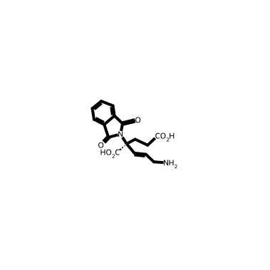 NCC=C[C@@](CCC(=O)O)(C(=O)O)N1C(=O)c2ccccc2C1=O